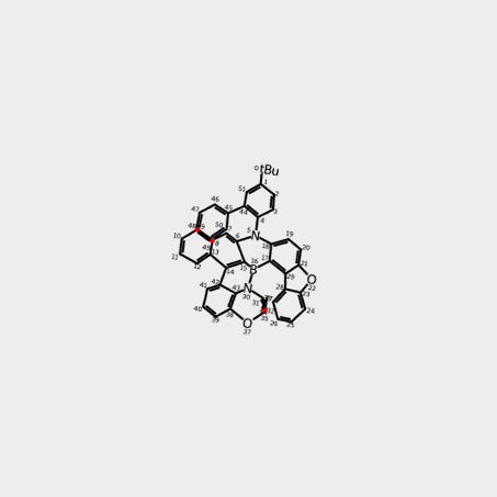 CC(C)(C)c1ccc(N2c3cc4ccccc4c4c3B(c3c2ccc2oc5ccccc5c32)N2c3ccccc3Oc3cccc-4c32)c(-c2ccccc2)c1